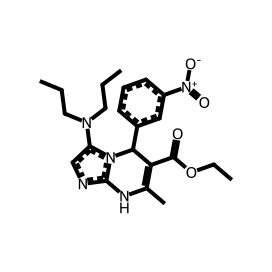 CCCN(CCC)c1cnc2n1C(c1cccc([N+](=O)[O-])c1)C(C(=O)OCC)=C(C)N2